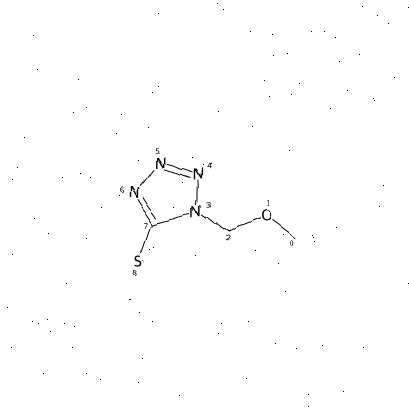 COCn1nnnc1[S]